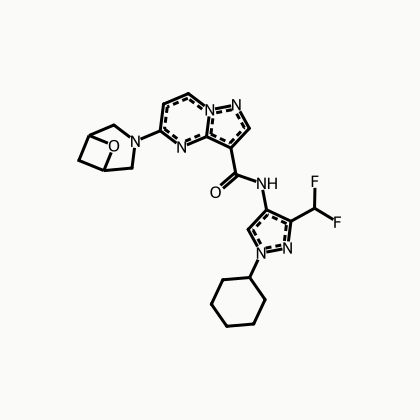 O=C(Nc1cn(C2CCCCC2)nc1C(F)F)c1cnn2ccc(N3CC4CC(C3)O4)nc12